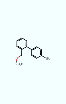 CC(C)(C)c1ccc(-c2ccccc2COC(=O)O)cc1